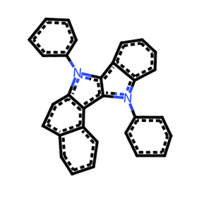 c1ccc(-n2c3ccc4ccccc4c3c3c2c2ccccc2n3-c2ccccc2)cc1